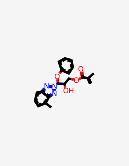 C=C(C)C(=O)OCC(O)C(Oc1ccccc1)n1nc2cccc(C)c2n1